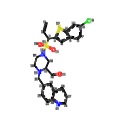 C=CC(c1cc2ccc(Cl)cc2s1)S(=O)(=O)N1CCN(Cc2ccc3ncccc3c2)C(C=O)C1